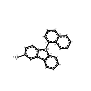 Bc1ccc2c(c1)c1ccccc1n2-c1cccc2ccccc12